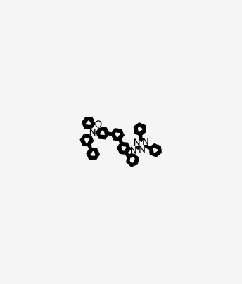 C1=Cc2c(c3ccc(-c4cccc(-c5ccc6c(c5)Oc5ccccc5N6c5cccc(-c6ccccc6)c5)c4)cc3n2-c2nc(-c3ccccc3)nc(-c3ccccc3)n2)CC1